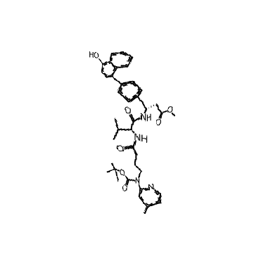 COC(=O)C[C@H](NC(=O)[C@@H](NC(=O)CCCN(C(=O)OC(C)(C)C)c1cc(C)ccn1)C(C)C)c1ccc(-c2ccc(O)c3ccccc23)cc1